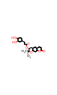 CC1(C)Oc2cc3oc(=O)ccc3cc2C[C@@H]1OC(=O)/C=C/c1ccc(O)c(O)c1